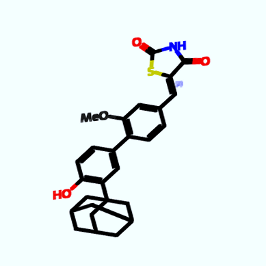 COc1cc(/C=C2\SC(=O)NC2=O)ccc1-c1ccc(O)c(C23CC4CC(CC(C4)C2)C3)c1